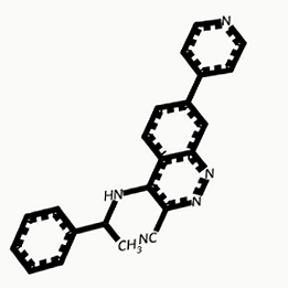 CC(Nc1c(C#N)nnc2cc(-c3ccncc3)ccc12)c1ccccc1